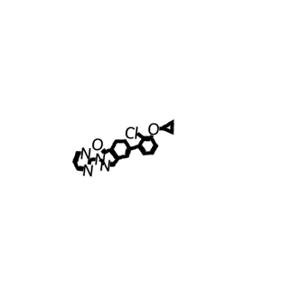 O=c1c2c(cnn1-c1ncccn1)C=C(c1cccc(OC3CC3)c1Cl)CC2